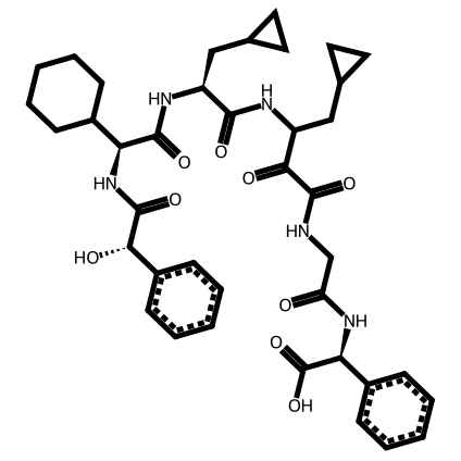 O=C(CNC(=O)C(=O)C(CC1CC1)NC(=O)[C@H](CC1CC1)NC(=O)[C@@H](NC(=O)[C@@H](O)c1ccccc1)C1CCCCC1)N[C@H](C(=O)O)c1ccccc1